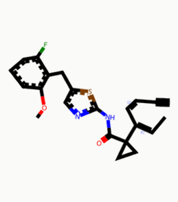 C#C/C=C\C(=C/C)C1(C(=O)Nc2ncc(Cc3c(F)cccc3OC)s2)CC1